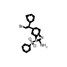 Nc1nc2ccc(C(=CBr)c3ccccc3)cc2n1S(=O)(=O)c1ccccc1